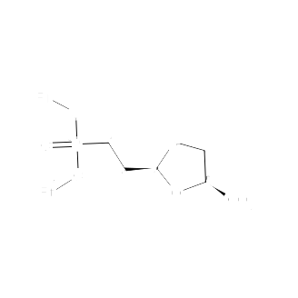 CCOP(=O)(CC[C@@H]1O[C@H](C(=O)O)[C@@H](C)S1)OCC